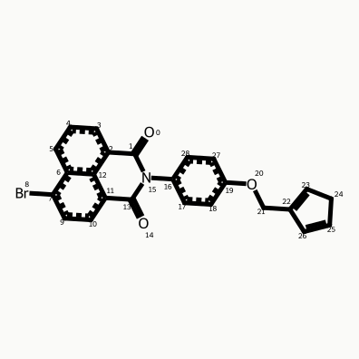 O=C1c2cccc3c(Br)ccc(c23)C(=O)N1c1ccc(OCC2=CCC=C2)cc1